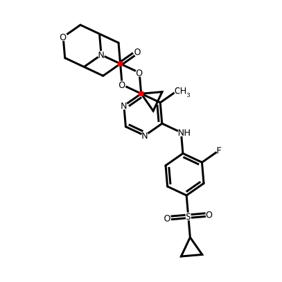 Cc1c(Nc2ccc(S(=O)(=O)C3CC3)cc2F)ncnc1OC1CC2COCC(C1)N2C(=O)OC1CC1